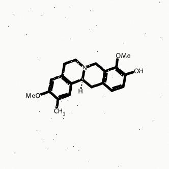 COc1cc2c(cc1C)[C@@H]1Cc3ccc(O)c(OC)c3CN1CC2